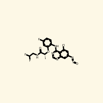 C[C@@H](Oc1cc(F)ccc1Nc1ncnc2cc(N=S=O)cc(Cl)c12)C(=O)NCC(F)F